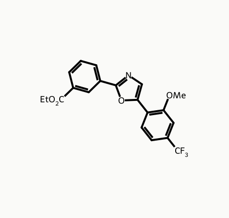 CCOC(=O)c1cccc(-c2ncc(-c3ccc(C(F)(F)F)cc3OC)o2)c1